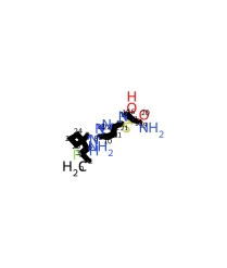 C=C/C(F)=C(\N)C1(CNc2ccc(-c3nc(O)c(C(N)=O)s3)nn2)CCC1